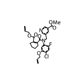 C=CCOC(=O)C1=C(C(=O)N(Cc2cncc(C(=O)OC)c2)c2cc(OCC=C)c(Cl)cc2F)CCCC1